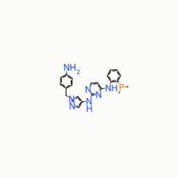 CP(C)c1ccccc1Nc1ccnc(Nc2cnn(Cc3ccc(N)cc3)c2)n1